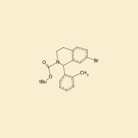 Cc1ccccc1C1c2cc(Br)ccc2CCN1C(=O)OC(C)(C)C